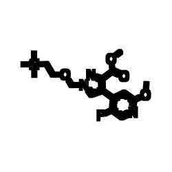 COC(=O)c1nn(COCC[Si](C)(C)C)cc1-c1cc(OC)ncc1F